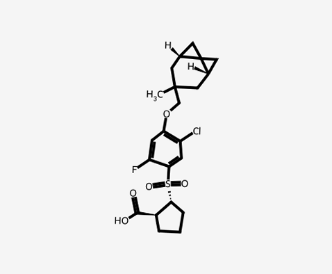 CC1(COc2cc(F)c(S(=O)(=O)[C@@H]3CCC[C@H]3C(=O)O)cc2Cl)C[C@@H]2CC23C[C@@H]3C1